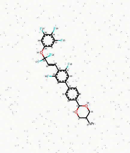 CCCC1COC(c2ccc(-c3cc(F)c(/C=C/C(F)(F)Oc4cc(F)c(F)c(F)c4)c(F)c3)cc2)OC1